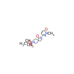 Cn1nc(N2CCC3(CCN(C(=O)OC(C)(C)C)CC3)C2=O)ccc1=O